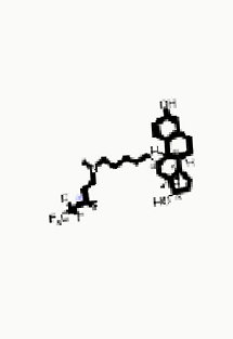 CN(C/C=C(\F)C(F)(F)C(F)(F)F)CCCCC[C@H]1C[C@]2(C)[C@@H](O)CC[C@H]2[C@@H]2CCc3cc(O)ccc3[C@@H]12